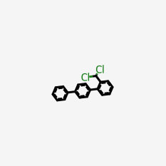 ClC(Cl)c1ccccc1-c1ccc(-c2ccccc2)cc1